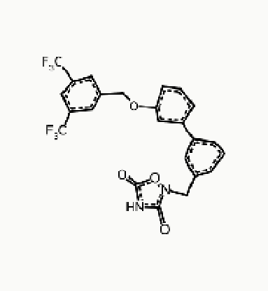 O=c1[nH]c(=O)n(Cc2cccc(-c3cccc(OCc4cc(C(F)(F)F)cc(C(F)(F)F)c4)c3)c2)o1